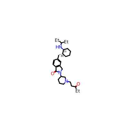 CCC(=O)CCN1CCCC(N2Cc3cc(C[C@H]4CCCC[C@@H]4NC(CC)CC)ccc3C2=O)C1